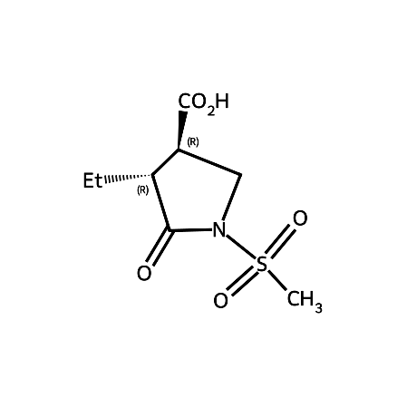 CC[C@H]1C(=O)N(S(C)(=O)=O)C[C@@H]1C(=O)O